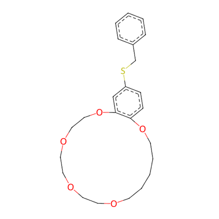 c1ccc(CSc2ccc3c(c2)OCCOCCOCCOCCCCCO3)cc1